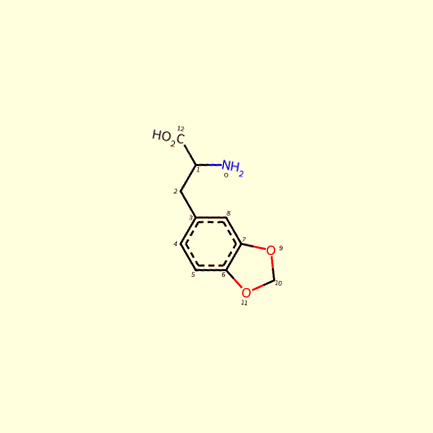 NC(Cc1ccc2c(c1)OCO2)C(=O)O